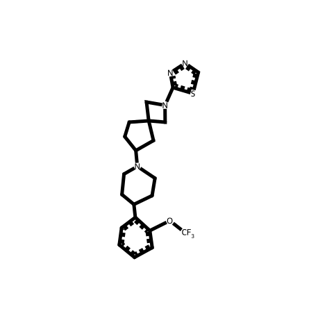 FC(F)(F)Oc1ccccc1C1CCN(C2CCC3(C2)CN(c2nncs2)C3)CC1